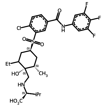 CCC1C[C@@H](S(=O)(=O)c2cc(C(=O)Nc3cc(F)c(F)c(F)c3)ccc2Cl)C[C@H](C)[C@@]1(O)CN[C@H](C(=O)O)C(C)C